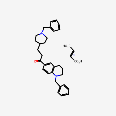 O=C(CCC1CCN(Cc2ccccc2)CC1)c1ccc2c(c1)CCCN2Cc1ccccc1.O=C(O)/C=C/C(=O)O